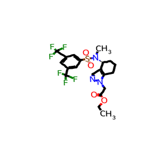 CCOC(=O)Cn1ncc2c1CCC[C@H]2N(C)S(=O)(=O)c1cc(C(F)(F)F)cc(C(F)(F)F)c1